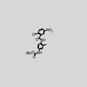 Cc1cc(NC(=O)OC(C)(C)C)ccc1NC(=O)c1cc([N+](=O)[O-])ccc1Cl